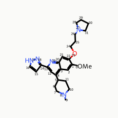 COc1cc2c(C3CCN(C)CC3)cc(-c3cc[nH]n3)nc2cc1OCCCN1CCCC1